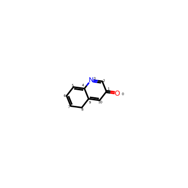 O=C1C=NC2=CC=CCC2=C1